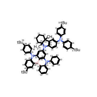 CC(C)(C)c1ccc(N(c2ccc(C(C)(C)C)cc2)c2ccc3c(c2)C2(C)CCCCC2(C)N3c2cc3c4c(c2)N(c2ccc(C(C)(C)C)cc2)c2ccc(C(C)(C)C)cc2B4c2ccccc2N3c2ccccc2)cc1